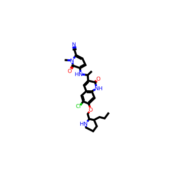 CCCC1CCCNC1COc1cc2[nH]c(=O)c(C(C)Nc3ccc(C#N)n(C)c3=O)cc2cc1Cl